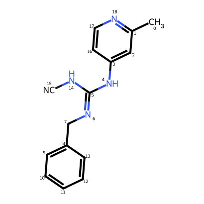 Cc1cc(NC(=NCc2cc[c]cc2)NC#N)ccn1